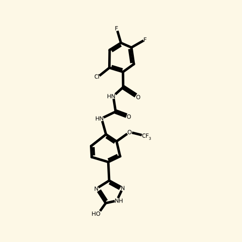 O=C(NC(=O)c1cc(F)c(F)cc1Cl)Nc1ccc(-c2n[nH]c(O)n2)cc1OC(F)(F)F